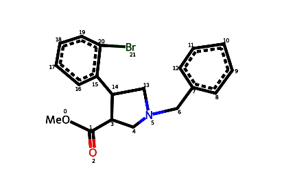 COC(=O)C1CN(Cc2ccccc2)CC1c1ccccc1Br